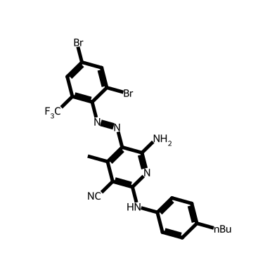 CCCCc1ccc(Nc2nc(N)c(/N=N/c3c(Br)cc(Br)cc3C(F)(F)F)c(C)c2C#N)cc1